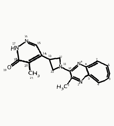 Cc1nc2ccccc2nc1N1CC(c2cn[nH]c(=O)c2C)C1